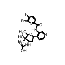 CC1O[C@@H](c2ccncc2NC(=O)c2ccc(F)c(Br)n2)C[C@@H](NC(=O)O)[C@]1(C)O